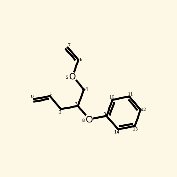 C=CCC(COC=C)Oc1ccccc1